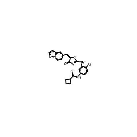 O=C1N=C(Nc2cc(NC(=O)C3CCC3)ccc2Cl)SC1=Cc1ccn2nccc2c1